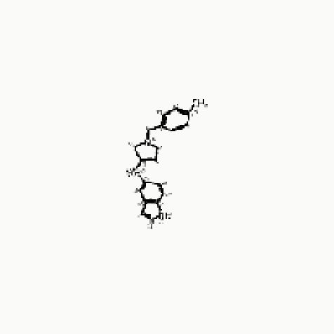 Cc1ccc(CN2CCC(Nc3ccc4[nH]ncc4c3)C2)cc1